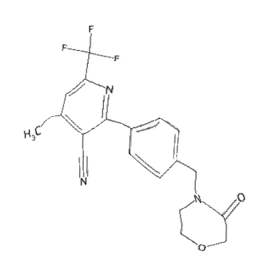 Cc1cc(C(F)(F)F)nc(-c2ccc(CN3CCOCC3=O)cc2)c1C#N